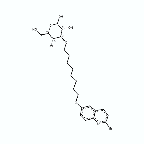 OC[C@H]1OC(O)[C@H](O)[C@@H](OCCCCCCCCOc2ccc3nc(Br)ccc3c2)[C@@H]1O